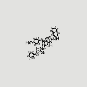 O=C(Nc1ccc2ccccc2c1)NC(CCCNC(=O)OCc1ccccc1)C(=O)NCc1ccc(O)cc1